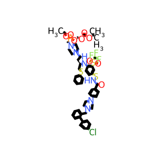 CCOP(=O)(CN1CCN(CC[C@H](CSc2ccccc2)Nc2ccc(SNC(=O)c3ccc(N4CCN(Cc5ccccc5-c5ccc(Cl)cc5)CC4)cc3)cc2S(=O)(=O)C(F)(F)F)CC1)OCOC(=O)OC(C)C